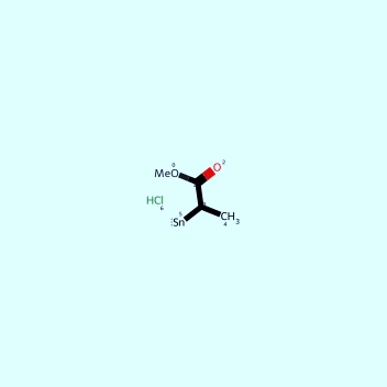 COC(=O)[CH](C)[Sn].Cl